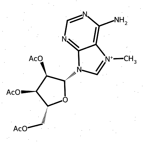 CC(=O)OC[C@H]1O[C@@H](n2c[n+](C)c3c(N)ncnc32)[C@H](OC(C)=O)[C@@H]1OC(C)=O